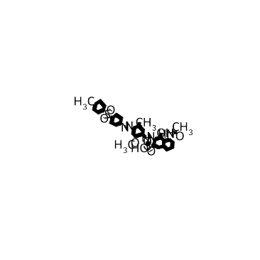 COc1cc(/N=N/c2ccc(S(=O)(=O)c3ccc(C)cc3)cc2)c(C)cc1/N=N/c1c(S(=O)(=O)O)cc2cccc(NC(C)=O)c2c1O